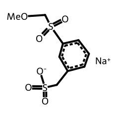 COCS(=O)(=O)c1cccc(CS(=O)(=O)[O-])c1.[Na+]